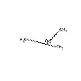 CCCCCCCCCCCCCC(CCCCCC)C(=O)OCCCCCCCCCC